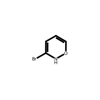 BrC1=CC=CON1